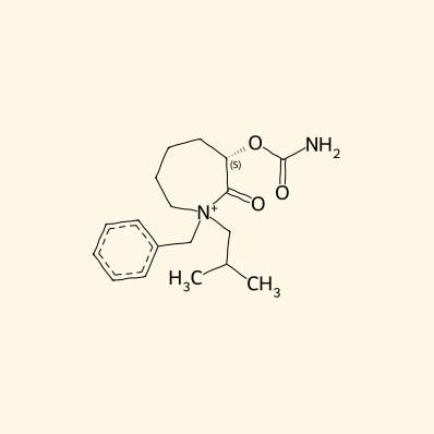 CC(C)C[N+]1(Cc2ccccc2)CCCC[C@H](OC(N)=O)C1=O